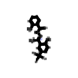 C/C(=N\NC(=O)c1ccccc1O)c1cc(C(F)(F)F)ccc1O